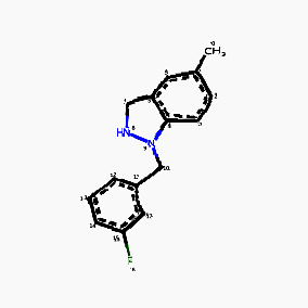 Cc1ccc2c(c1)CNN2Cc1cccc(F)c1